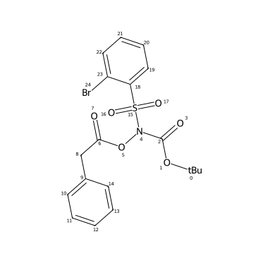 CC(C)(C)OC(=O)N(OC(=O)Cc1ccccc1)S(=O)(=O)c1ccccc1Br